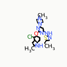 CCc1cnc(Nc2cc(N3CCN(C)CC3)nc(Oc3ccc4[nH]c(C)cc4c3Cl)n2)s1